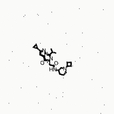 CC(C)c1nn(CC(=O)NC2CCCN(C3CCC3)C2)c(=O)c2cc(C3CC3)nn12